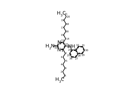 CCCCCCCCc1nc(N)nc(CCCCCCCC)c1Nc1cccc2ccccc12